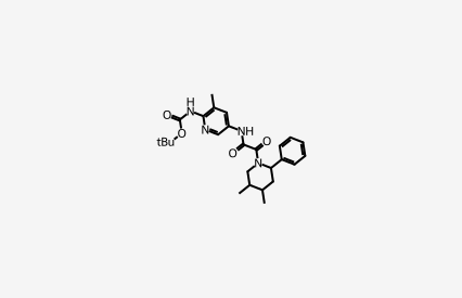 Cc1cc(NC(=O)C(=O)N2CC(C)C(C)CC2c2ccccc2)cnc1NC(=O)OC(C)(C)C